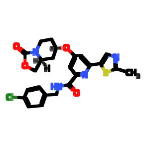 Cc1ncc(-c2cc(O[C@H]3CCN4C(=O)OC[C@@H]4C3)cc(C(=O)NCc3ccc(Cl)cc3)n2)s1